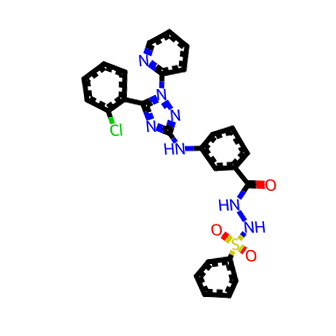 O=C(NNS(=O)(=O)c1ccccc1)c1cccc(Nc2nc(-c3ccccc3Cl)n(-c3ccccn3)n2)c1